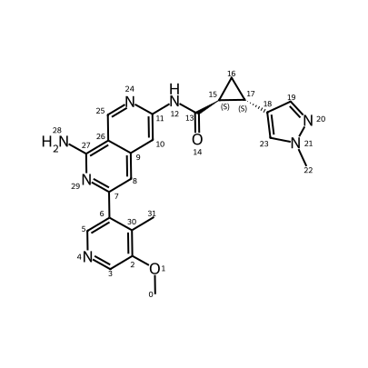 COc1cncc(-c2cc3cc(NC(=O)[C@H]4C[C@@H]4c4cnn(C)c4)ncc3c(N)n2)c1C